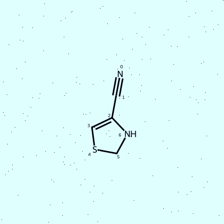 N#CC1=[C]SCN1